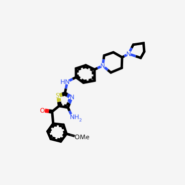 COc1cccc(C(=O)c2sc(Nc3ccc(N4CCC(N5CCCC5)CC4)cc3)nc2N)c1